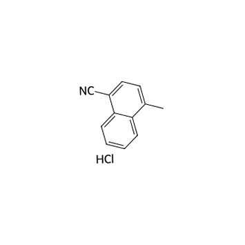 Cc1ccc(C#N)c2ccccc12.Cl